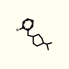 CC(C)C1CCC(Cc2ccccc2Br)CC1